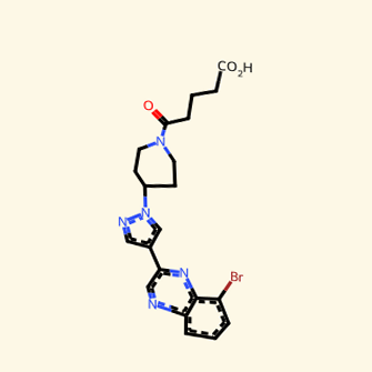 O=C(O)CCCC(=O)N1CCC(n2cc(-c3cnc4cccc(Br)c4n3)cn2)CC1